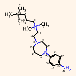 C[N+](C)(CCC[Si](C)(C)C)CCN1CCCN(c2ccc(N)cc2)CC1